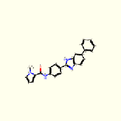 Cn1cccc1C(=O)Nc1ccc(-c2nc3ccc(-c4ccccc4)cc3[nH]2)cc1